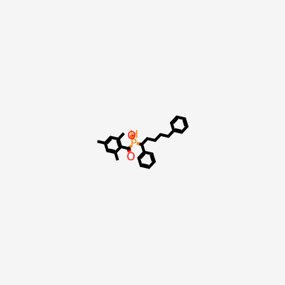 Cc1cc(C)c(C(=O)[PH](=O)C(CCCCc2ccccc2)c2ccccc2)c(C)c1